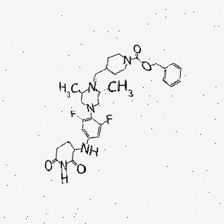 C[C@@H]1CN(c2c(F)cc(NC3CCC(=O)NC3=O)cc2F)C[C@@H](C)N1CC1CCN(C(=O)OCc2ccccc2)CC1